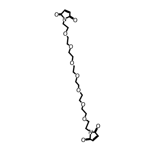 O=C1C=CC(=O)N1CCOCCOCCOCCOCCOCCOCCOCCN1C(=O)C=CC1=O